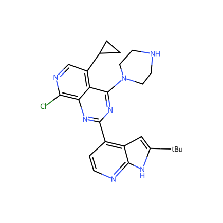 CC(C)(C)c1cc2c(-c3nc(N4CCNCC4)c4c(C5CC5)cnc(Cl)c4n3)ccnc2[nH]1